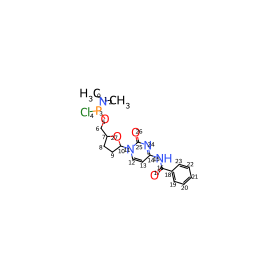 CN(C)P(Cl)OCC1CCC(n2ccc(NC(=O)c3ccccc3)nc2=O)O1